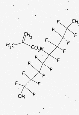 C=C(C)C(=O)O.CC(F)(F)C(F)(F)C(F)(F)C(F)(F)C(F)(F)C(F)(F)C(F)(F)C(O)(F)F